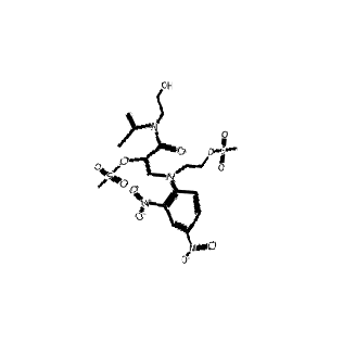 CC(C)N(CCO)C(=O)C(CN(CCOS(C)(=O)=O)c1ccc([N+](=O)[O-])cc1[N+](=O)[O-])OS(C)(=O)=O